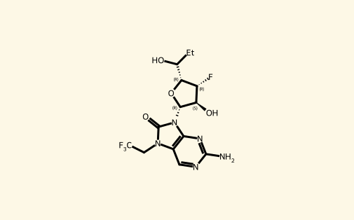 CCC(O)[C@H]1O[C@@H](n2c(=O)n(CC(F)(F)F)c3cnc(N)nc32)[C@H](O)[C@H]1F